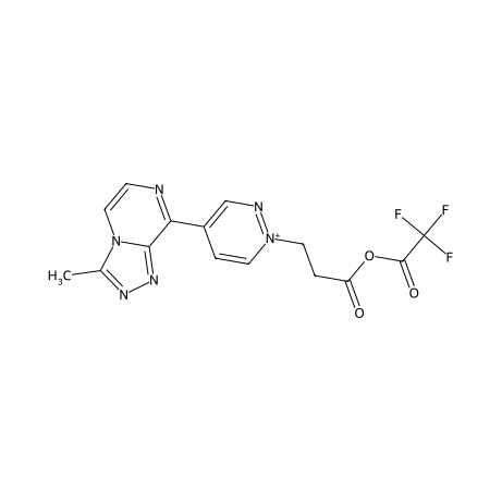 Cc1nnc2c(-c3cc[n+](CCC(=O)OC(=O)C(F)(F)F)nc3)nccn12